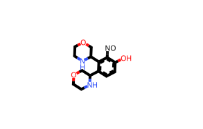 O=Nc1c(O)ccc(C2COCCN2)c1C1COCCN1